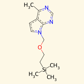 Cc1ncnc2c1ccn2COCC[Si](C)(C)C